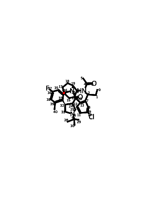 CCC(NC(C)=O)c1cc(Cl)ccc1C1CC2CCC(C1)N2C(=O)C1CN(C(C)(C)C)C[C@H]1c1ccc(F)cc1C